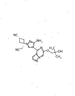 CC(C)(O)COc1cn2nccc2c(-c2cn([C@]3(CC#N)C[C@@H](C#N)C3)nc2N)n1